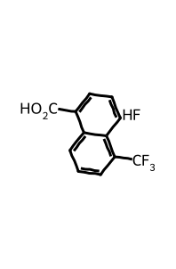 F.O=C(O)c1cccc2c(C(F)(F)F)cccc12